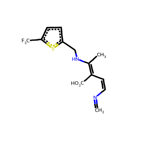 C=N/C=C\C(C(=O)O)=C(/C)NCc1ccc(C(F)(F)F)s1